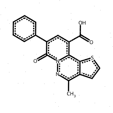 Cc1nn2c(=O)c(-c3ccccc3)cc(C(=O)O)c2c2sccc12